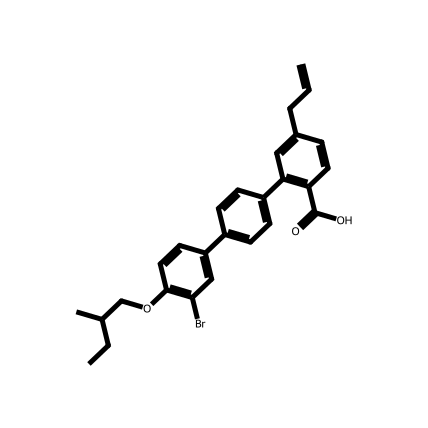 C=CCc1ccc(C(=O)O)c(-c2ccc(-c3ccc(OCC(C)CC)c(Br)c3)cc2)c1